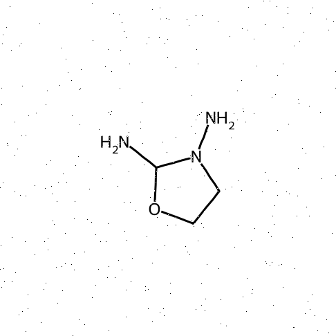 NC1OCCN1N